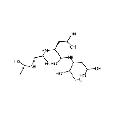 CC(O)NCC(O)N[C@@H](CC(O)O)C(O)N[C@@H](CC(O)O)C(N)O